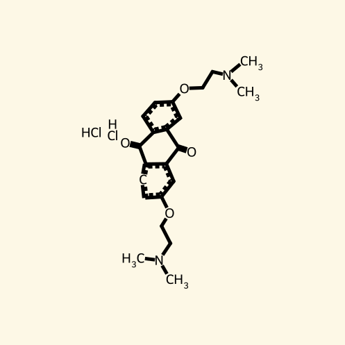 CN(C)CCOc1ccc2c(c1)C(=O)c1cc(OCCN(C)C)ccc1C2=O.Cl.Cl